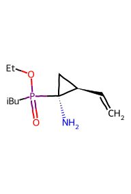 C=C[C@@H]1C[C@]1(N)P(=O)(OCC)C(C)CC